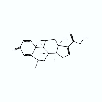 CC(=O)OCC(=O)C1=CC[C@H]2[C@@H]3CC(F)C4=CC(=O)C=C[C@]4(C)[C@]34OC4C[C@]12C